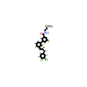 COCCNC(=O)c1cc(F)cc(-c2cccc3cc(Cc4ccc(F)c(Cl)c4)sc23)c1